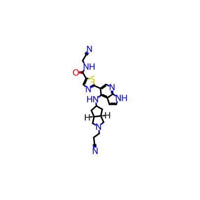 N#CCCN1C[C@H]2CC(Nc3c(-c4ncc(C(=O)NCC#N)s4)cnc4[nH]ccc34)C[C@H]2C1